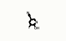 N#Cc1cnc(O)c(I)c1